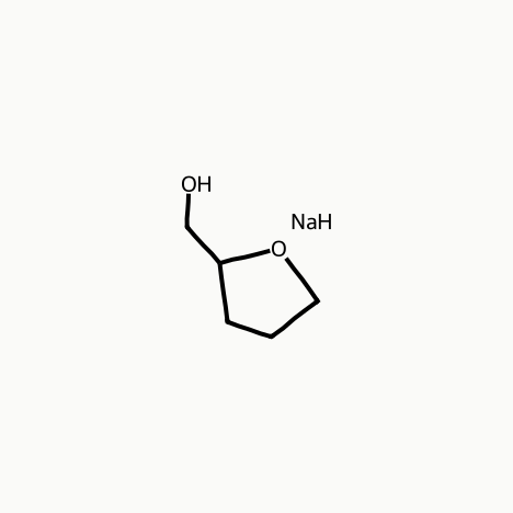 OCC1CCCO1.[NaH]